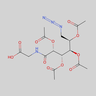 CC(=O)O[C@@H]([C@H](OC(C)=O)[C@@H](OC(C)=O)C(=O)NCC(=O)O)[C@@H](CN=[N+]=[N-])OC(C)=O